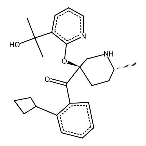 C[C@@H]1CC[C@](Oc2ncccc2C(C)(C)O)(C(=O)c2ccccc2C2CCC2)CN1